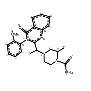 CCCCCCC(=O)N1CCN(C(C)c2nc3ccccc3c(=O)n2-c2ccccc2OC)CC1C